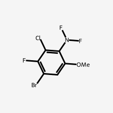 COc1cc(Br)c(F)c(Cl)c1N(F)F